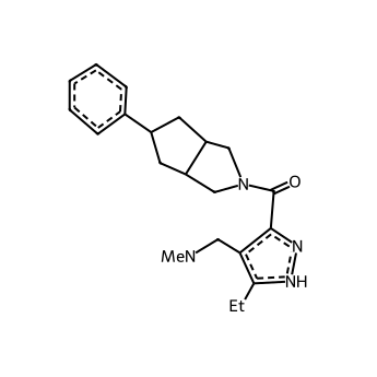 CCc1[nH]nc(C(=O)N2CC3CC(c4ccccc4)CC3C2)c1CNC